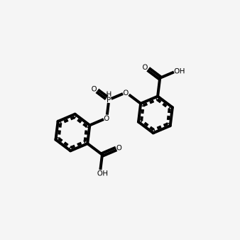 O=C(O)c1ccccc1O[PH](=O)Oc1ccccc1C(=O)O